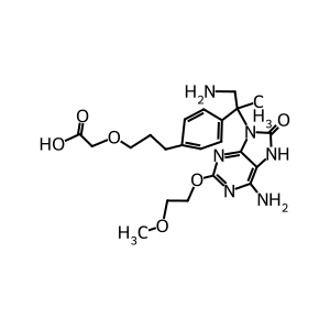 COCCOc1nc(N)c2[nH]c(=O)n(C(C)(CN)c3ccc(CCCOCC(=O)O)cc3)c2n1